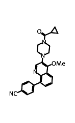 COc1c(N2CCN(C(=O)C3CC3)CC2)cnc2c(-c3ccc(C#N)cc3)cccc12